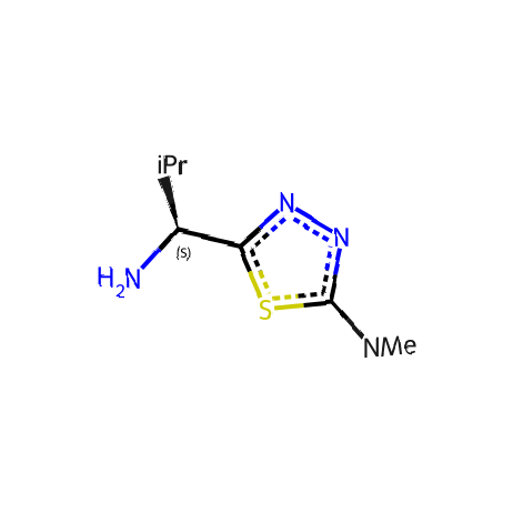 CNc1nnc([C@@H](N)C(C)C)s1